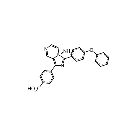 N[N+]12C=CN=CC1=C(c1ccc(C(=O)O)cc1)N=C2c1ccc(Oc2ccccc2)cc1